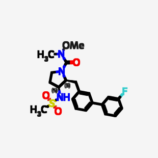 CON(C)C(=O)N1CC[C@H](NS(C)(=O)=O)[C@@H]1Cc1cccc(-c2cccc(F)c2)c1